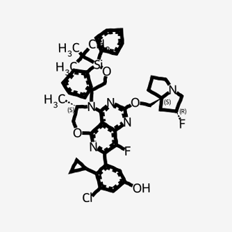 C[C@H]1COc2nc(-c3cc(O)cc(Cl)c3C3CC3)c(F)c3nc(OC[C@@]45CCCN4C[C@H](F)C5)nc(c23)N1CCO[Si](c1ccccc1)(c1ccccc1)C(C)(C)C